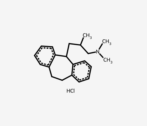 CC(CC1c2ccccc2CCc2ccccc21)CN(C)C.Cl